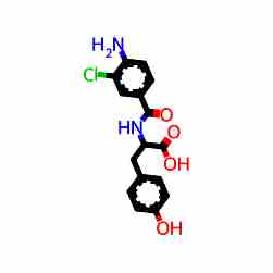 Nc1ccc(C(=O)NC(Cc2ccc(O)cc2)C(=O)O)cc1Cl